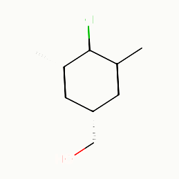 CC1C[C@H](CO)C[C@H](C)C1Cl